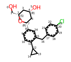 OC[C@@H]1C[C@H](O)C[C@H](c2ccc(C3CC3)c(Cc3ccc(Cl)cc3)c2)O1